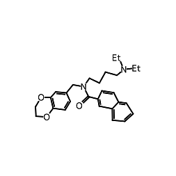 CCN(CC)CCCCN(Cc1ccc2c(c1)OCCO2)C(=O)c1ccc2ccccc2c1